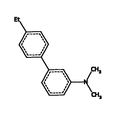 CCc1ccc(-c2cccc(N(C)C)c2)cc1